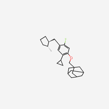 C[C@@H]1CCC[C@H]1Cc1cc(C2CC2)c(OCC23CC4CC(CC(C4)C2)C3)cc1F